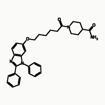 NC(=O)C1CCN(C(=O)CCCCCOc2ccc3nc(-c4ccccc4)n(-c4ccccc4)c3c2)CC1